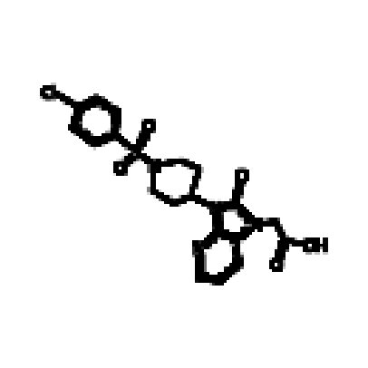 O=C(O)Cn1c(=O)n(C2CCN(S(=O)(=O)c3ccc(Cl)cc3)CC2)c2ncccc21